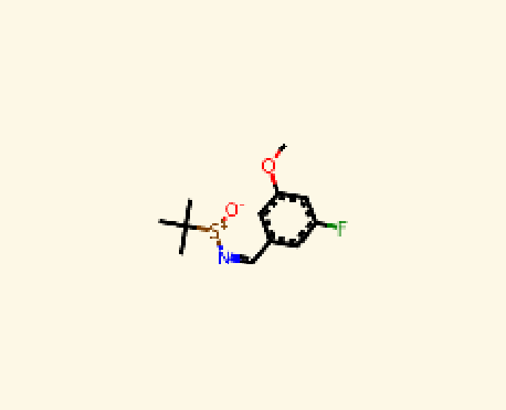 COc1cc(F)cc(/C=N\[S+]([O-])C(C)(C)C)c1